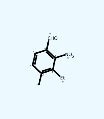 CCc1c(C)ccc(C=O)c1[N+](=O)[O-]